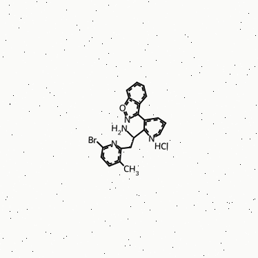 Cc1ccc(Br)nc1CC(N)c1ncccc1-c1noc2ccccc12.Cl